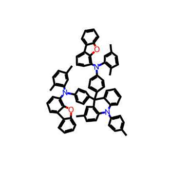 Cc1ccc(N2c3ccccc3C(c3ccc(N(c4cc(C)ccc4C)c4cccc5c4oc4ccccc45)cc3)(c3ccc(N(c4cc(C)ccc4C)c4cccc5c4oc4ccccc45)cc3)c3cc(C)ccc32)cc1